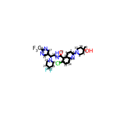 CC1(O)CCN(c2ccc3c(C(=O)NCC(c4cnc(C(F)(F)F)nc4)N4CCC(F)(F)CC4)c(Cl)ccc3n2)CC1